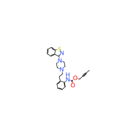 CC#CCOC(=O)Nc1ccccc1CCN1CCN(c2nsc3ccccc23)CC1